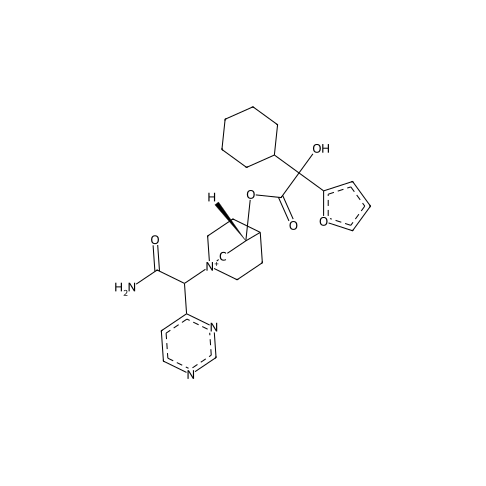 NC(=O)C(c1ccncn1)[N+]12CCC(CC1)[C@@H](OC(=O)C(O)(c1ccco1)C1CCCCC1)C2